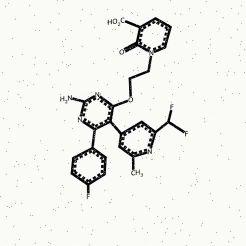 Cc1cc(-c2c(OCCn3cccc(C(=O)O)c3=O)nc(N)nc2-c2ccc(F)cc2)cc(C(F)F)n1